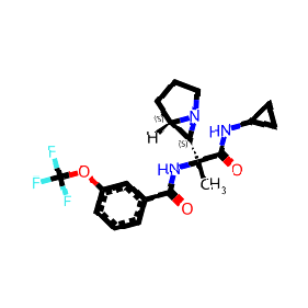 CC(NC(=O)c1cccc(OC(F)(F)F)c1)(C(=O)NC1CC1)[C@@H]1[C@@H]2CCCN12